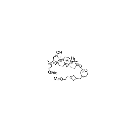 COCC[C@@H](C)[C@H]1C[C@H](O)[C@@]2(C)[C@H]3CC[C@H]4C(C)(C)[C@@H](O[C@H]5CN(CC6CN(CCOC)C6)CCO5)CC[C@@]45C[C@@]35CC[C@]12C